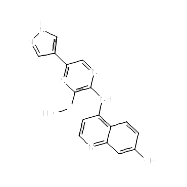 COc1nc(-c2cn[nH]c2)cnc1Nc1ccnc2cc(C)ccc12